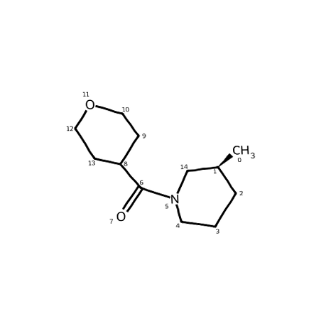 C[C@H]1CCCN(C(=O)C2CCOCC2)C1